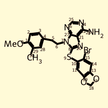 COc1ccc(CCn2c(Sc3cc4c(cc3Br)OCO4)nc3c(N)ncnc32)cc1C